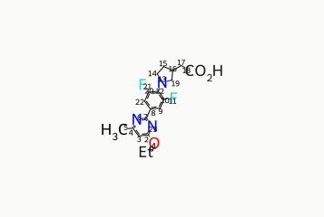 CCOc1cc(C)nc(-c2cc(F)c(N3CCC(CC(=O)O)C3)c(F)c2)n1